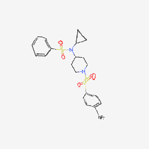 CCCc1ccc(S(=O)(=O)N2CCC(N(C3CC3)S(=O)(=O)c3ccccc3)CC2)cc1